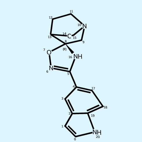 c1cc2cc(C3=NO[C@]4(CN5CCC4CC5)N3)ccc2[nH]1